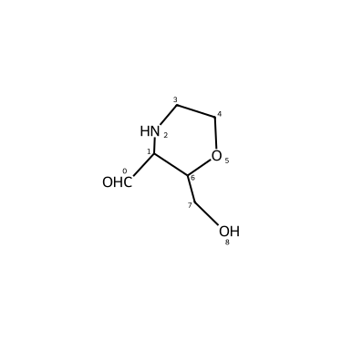 O=CC1NCCOC1CO